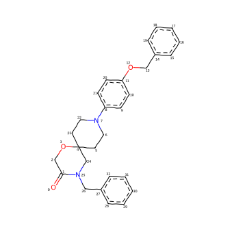 O=C1COC2(CCN(c3ccc(OCc4ccccc4)cc3)CC2)CN1Cc1ccccc1